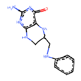 Nc1nc(=O)c2c([nH]1)NCC(CNc1c[c]ccc1)N2